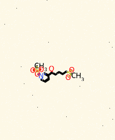 CS(=O)(=O)CCCCC(=O)c1ccc[n+](OS(C)(=O)=O)c1